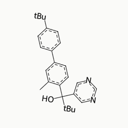 Cc1cc(-c2ccc(C(C)(C)C)cc2)ccc1C(O)(c1cncnc1)C(C)(C)C